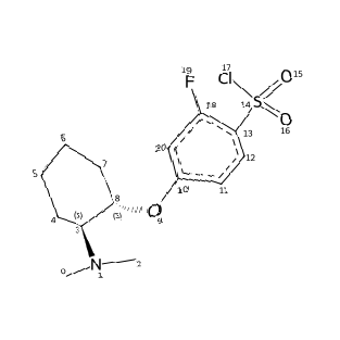 CN(C)[C@H]1CCCC[C@@H]1Oc1ccc(S(=O)(=O)Cl)c(F)c1